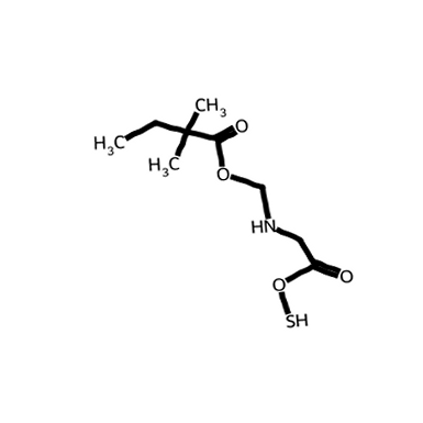 CCC(C)(C)C(=O)OCNCC(=O)OS